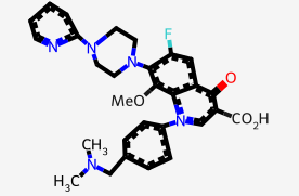 COc1c(N2CCN(c3ccccn3)CC2)c(F)cc2c(=O)c(C(=O)O)cn(-c3ccc(CN(C)C)cc3)c12